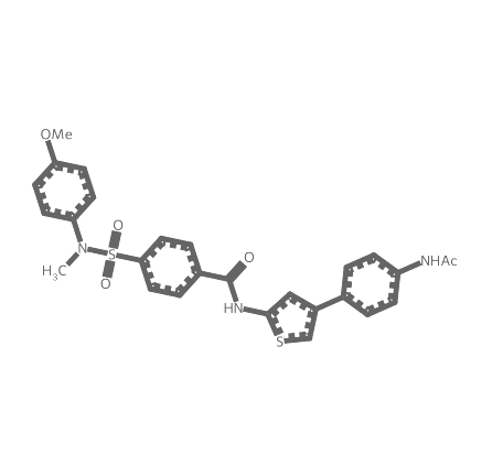 COc1ccc(N(C)S(=O)(=O)c2ccc(C(=O)Nc3cc(-c4ccc(NC(C)=O)cc4)cs3)cc2)cc1